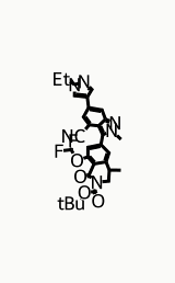 CCn1cc(-c2cc(C#N)c3c(-c4cc(OC(F)F)c5c(c4)C(C)CN(C(=O)OC(C)(C)C)C5=O)n(C)nc3c2)cn1